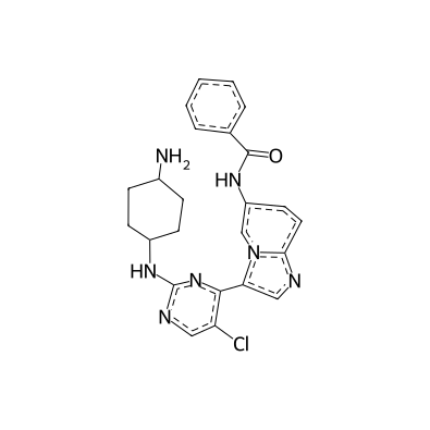 NC1CCC(Nc2ncc(Cl)c(-c3cnc4ccc(NC(=O)c5ccccc5)cn34)n2)CC1